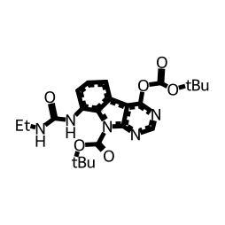 CCNC(=O)Nc1cccc2c3c(OC(=O)OC(C)(C)C)ncnc3n(C(=O)OC(C)(C)C)c12